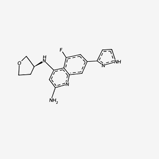 Nc1cc(N[C@H]2CCOC2)c2c(F)cc(-c3cc[nH]n3)cc2n1